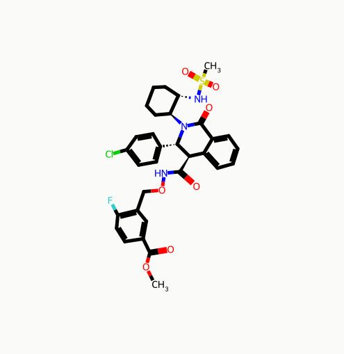 COC(=O)c1ccc(F)c(CONC(=O)[C@@H]2c3ccccc3C(=O)N([C@H]3CCCC[C@@H]3NS(C)(=O)=O)[C@H]2c2ccc(Cl)cc2)c1